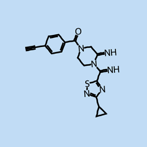 C#Cc1ccc(C(=O)N2CCN(C(=N)c3nc(C4CC4)ns3)C(=N)C2)cc1